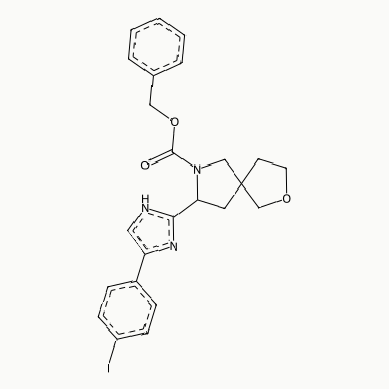 O=C(OCc1ccccc1)N1CC2(CCOC2)CC1c1nc(-c2ccc(I)cc2)c[nH]1